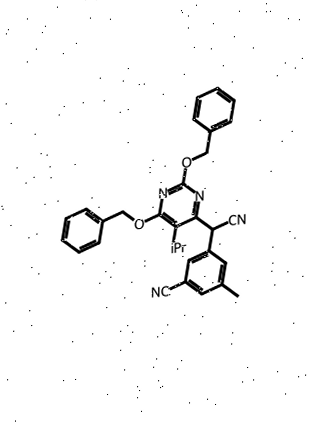 Cc1cc(C#N)cc(C(C#N)c2nc(OCc3ccccc3)nc(OCc3ccccc3)c2C(C)C)c1